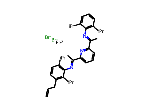 C=CCc1ccc(C(C)C)c(N=C(C)c2cccc(C(C)=Nc3c(C(C)C)cccc3C(C)C)n2)c1C(C)C.[Br-].[Br-].[Fe+2]